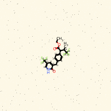 CCOC(=O)C(c1ccc(Cc2cc(C(F)(F)F)c[nH]c2=O)cc1)C(C)C(F)(F)F